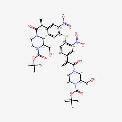 C=C(C(=O)N1CCN(C(=O)OC(C)(C)C)C(CO)C1)c1ccc(Sc2ccc(C(=C)C(=O)N3CCN(C(=O)OC(C)(C)C)C(CO)C3)cc2[N+](=O)[O-])c([N+](=O)[O-])c1